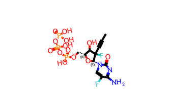 CC#CC1(F)C(O)[C@@H](COP(=O)(O)OP(=O)(O)OP(=O)(O)O)O[C@H]1n1cc(F)c(N)nc1=O